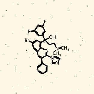 CN(C)CCC(O)(c1cc(F)cc(F)c1)c1cc(Br)cc2cc(-c3ccccc3)c(-n3ccnc3)nc12